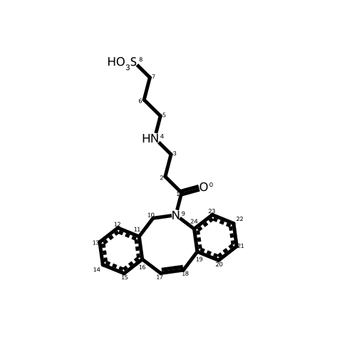 O=C(CCNCCCS(=O)(=O)O)N1Cc2ccccc2/C=C\c2ccccc21